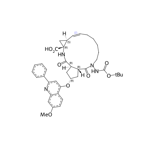 COc1ccc2c(O[C@@H]3C[C@H]4C(=O)N[C@]5(C(=O)O)C[C@H]5/C=C\CCCCCN(NC(=O)OC(C)(C)C)C(=O)[C@@H]4C3)cc(-c3ccccc3)nc2c1